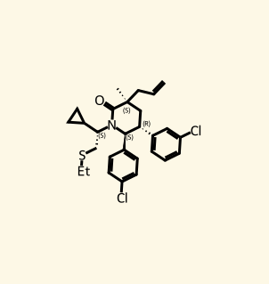 C=CC[C@@]1(C)C[C@H](c2cccc(Cl)c2)[C@@H](c2ccc(Cl)cc2)N([C@H](CSCC)C2CC2)C1=O